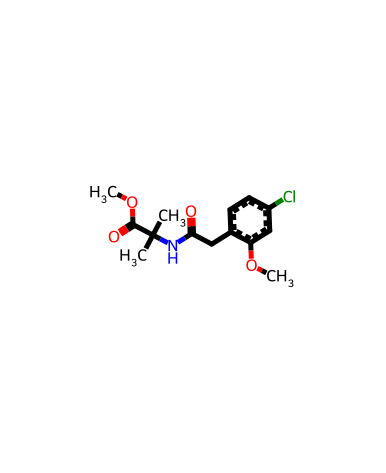 COC(=O)C(C)(C)NC(=O)Cc1ccc(Cl)cc1OC